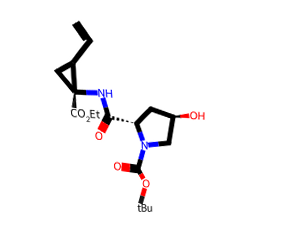 C=CC1C[C@]1(NC(=O)[C@@H]1C[C@@H](O)CN1C(=O)OC(C)(C)C)C(=O)OCC